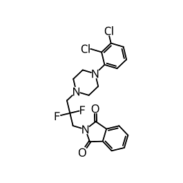 O=C1c2ccccc2C(=O)N1CC(F)(F)CN1CCN(c2cccc(Cl)c2Cl)CC1